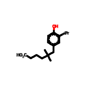 CC(C)c1cc(CC(C)(C)CCCC(=O)O)ccc1O